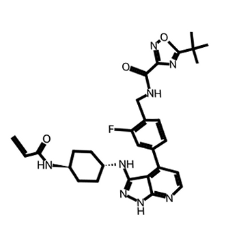 C=CC(=O)N[C@H]1CC[C@H](Nc2n[nH]c3nccc(-c4ccc(CNC(=O)c5noc(C(C)(C)C)n5)c(F)c4)c23)CC1